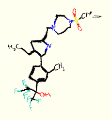 CCc1cc(CN2CCN(S(C)(=O)=O)CC2)ncc1-c1ccc(C(O)(C(F)(F)F)C(F)(F)F)cc1C